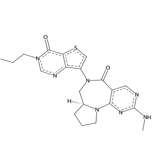 CNc1ncc2c(n1)N1CCC[C@H]1CN(c1csc3c(=O)n(CCF)cnc13)C2=O